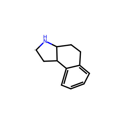 [CH]1CC2c3ccccc3CCC2N1